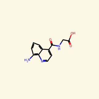 Nc1cccc2c(C(=O)NCC(=O)O)ccnc12